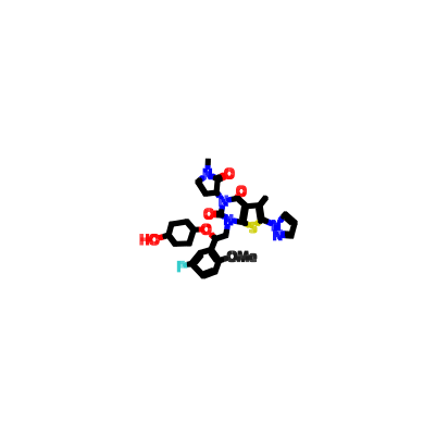 COc1ccc(F)cc1C(Cn1c(=O)n(C2CCN(C)C2=O)c(=O)c2c(C)c(-n3cccn3)sc21)OC1CCC(O)CC1